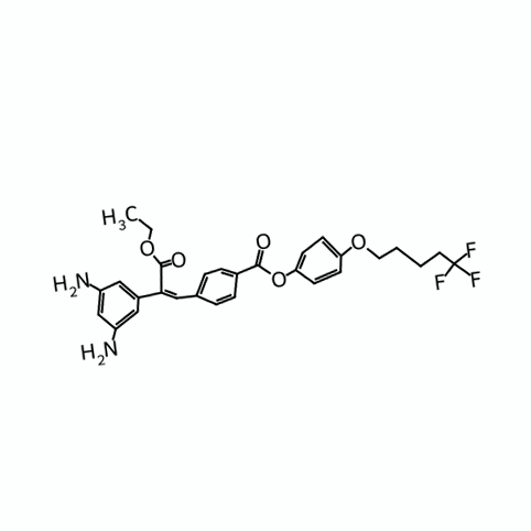 CCOC(=O)C(=Cc1ccc(C(=O)Oc2ccc(OCCCCC(F)(F)F)cc2)cc1)c1cc(N)cc(N)c1